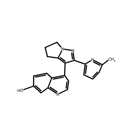 Cc1cccc(-c2nn3c(c2-c2ccnc4cc(O)ccc24)CCC3)n1